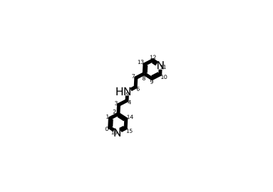 c1cc(CCNCCc2ccncc2)ccn1